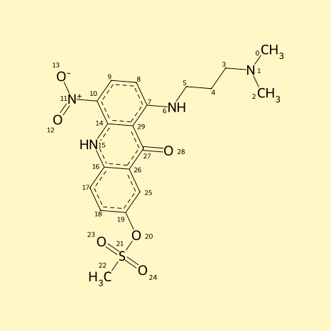 CN(C)CCCNc1ccc([N+](=O)[O-])c2[nH]c3ccc(OS(C)(=O)=O)cc3c(=O)c12